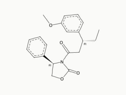 CC[C@H](CC(=O)N1C(=O)OC[C@H]1c1ccccc1)c1cccc(OC)c1